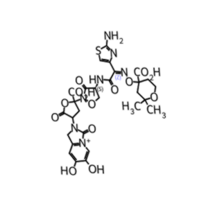 CC1(C)CC(O/N=C(\C(=O)N[C@H]2CON(C3(C(=O)O)CC(N4Cc5cc(O)c(O)c[n+]5C4=O)C(=O)O3)C2=O)c2csc(N)n2)(C(=O)O)CCO1